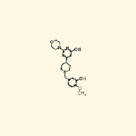 COc1ccc(CN2CCC(c3cc(O)nc(N4CCOCC4)n3)CC2)cc1O